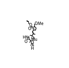 C=CCOC(=O)N1C(/C=C(\C)C(=O)C[C@H]2NC(=O)[C@@H]2[C@@](C)(O[SiH](C)C)C(C)(C)C)CCC1COC